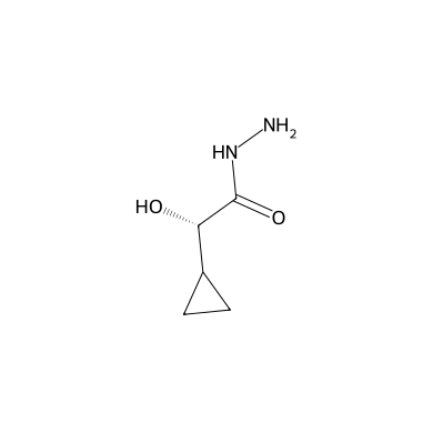 NNC(=O)[C@@H](O)C1CC1